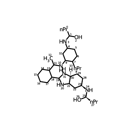 CCCC(O)NC1CCC(CCC)C(NC(C)C2CCCCC2C2NC3C[C@H](N[C@H](O)CCC)CC[C@@H]3N2)C1